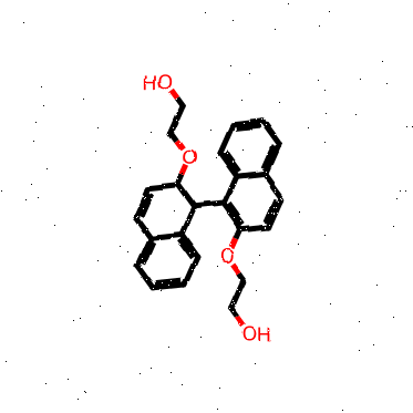 OCCOc1ccc2ccccc2c1C1c2ccccc2C=CC1OCCO